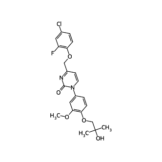 COc1cc(-n2ccc(COc3ccc(Cl)cc3F)nc2=O)ccc1OCC(C)(C)O